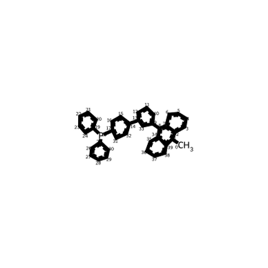 Cc1c2ccccc2c(-c2cccc(-c3ccc(P(c4ccccc4)c4ccccc4)cc3)c2)c2ccccc12